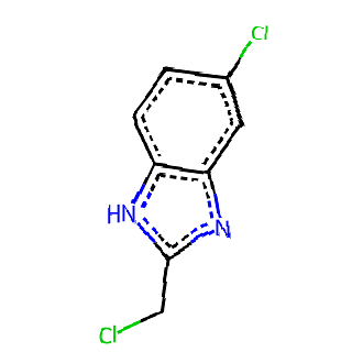 ClCc1nc2cc(Cl)ccc2[nH]1